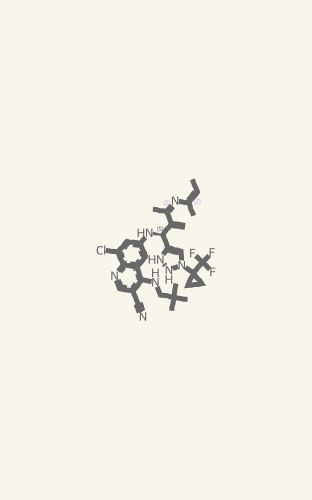 C=C(/C(C)=N\C(C)=C/C)[C@H](Nc1cc(Cl)c2ncc(C#N)c(NCC(C)(C)C)c2c1)C1=CN(C2(C(F)(F)F)CC2)NN1